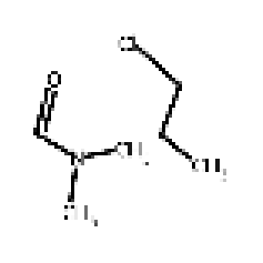 CCCCl.CN(C)C=O